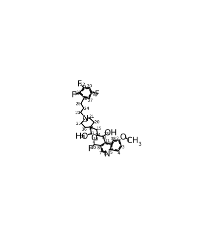 COc1ccc2ncc(CF)c(C(O)CCC3(C(=O)O)CCN(CCCc4cc(F)cc(F)c4F)CC3)c2c1